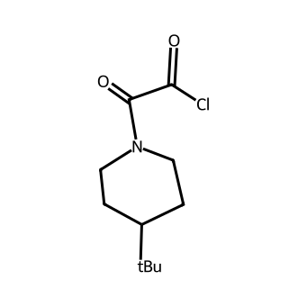 CC(C)(C)C1CCN(C(=O)C(=O)Cl)CC1